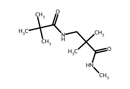 CNC(=O)C(C)(C)CNC(=O)C(C)(C)C